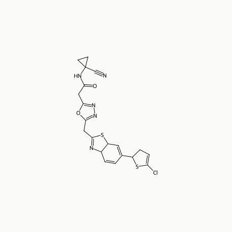 N#CC1(NC(=O)Cc2nnc(CC3=NC4C=CC(C5CC=C(Cl)S5)=CC4S3)o2)CC1